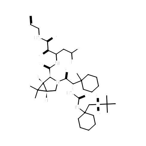 C=CCNC(=O)C(=O)C(CC(F)F)NC(=O)[C@@H]1[C@@H]2[C@H](CN1C(=O)[C@@H](NC(=O)NC1(CS(=O)(=O)C(C)(C)C)CCCCC1)C1(C)CCCCC1)C2(C)C